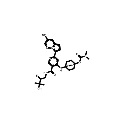 CN(C)C(=O)OC12CCC(Nc3cc(-c4ccc5cc(C#N)cnn45)ncc3C(=O)NCC(F)C(C)(C)O)(CC1)CC2